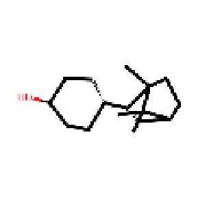 CC1(C)C2CCC1(C)[C@@H]([C@H]1CC[C@H](O)CC1)C2